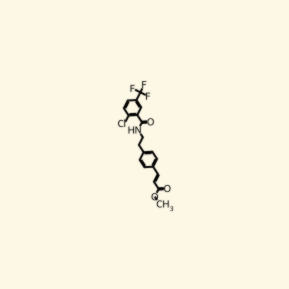 COC(=O)/C=C/c1ccc(CCNC(=O)c2cc(C(F)(F)F)ccc2Cl)cc1